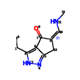 CCc1[nH]nc2c1C(=O)/C(=C\NC)C2